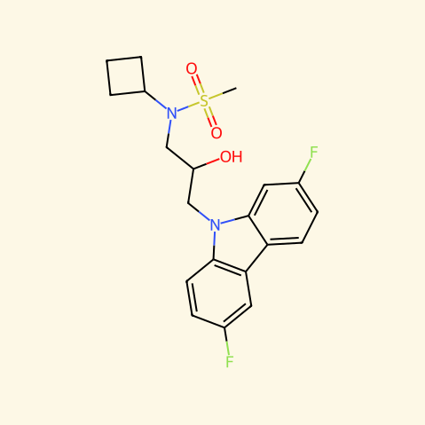 CS(=O)(=O)N(CC(O)Cn1c2ccc(F)cc2c2ccc(F)cc21)C1CCC1